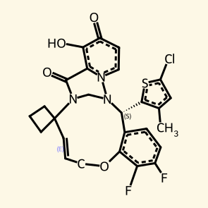 Cc1cc(Cl)sc1[C@@H]1c2ccc(F)c(F)c2OC/C=C/C2(CCC2)N2CN1n1ccc(=O)c(O)c1C2=O